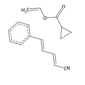 C=COC(=O)C1CC1.N#CC=CC=Cc1ccccc1